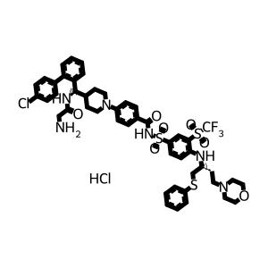 Cl.NCC(=O)N[C@@H](c1ccccc1-c1ccc(Cl)cc1)C1CCN(c2ccc(C(=O)NS(=O)(=O)c3ccc(N[C@H](CCN4CCOCC4)CSc4ccccc4)c(S(=O)(=O)C(F)(F)F)c3)cc2)CC1